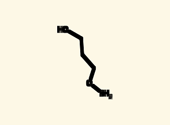 BOCCCO